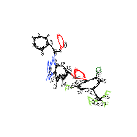 O=C[C@H](c1ccccc1)n1nnc2ccc(Oc3c(F)cc(C(F)(F)F)cc3Cl)cc21